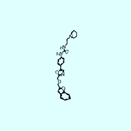 O=C(NCCN1CCCCC1)Nc1ccc(-c2cnc(COCc3cc4ccccc4o3)o2)cc1